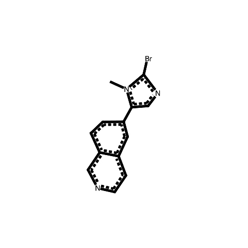 Cn1c(-c2ccc3cnccc3c2)cnc1Br